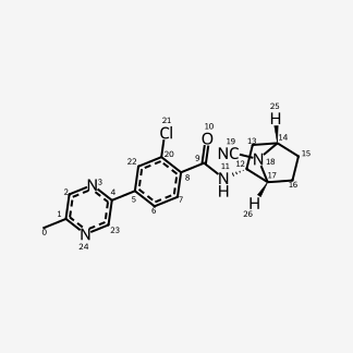 Cc1cnc(-c2ccc(C(=O)N[C@@H]3C[C@@H]4CC[C@H]3N4C#N)c(Cl)c2)cn1